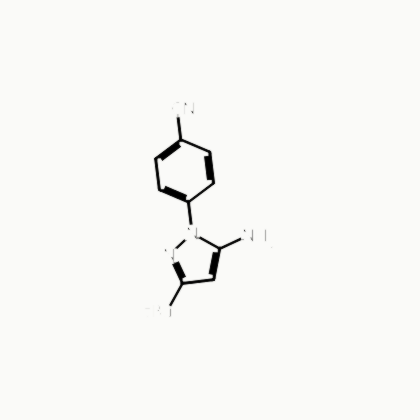 CC(C)(C)c1cc(N)n(-c2ccc(C#N)cc2)n1